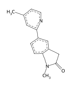 Cc1ccnc(-c2ccc3c(c2)CC(=O)N3C)c1